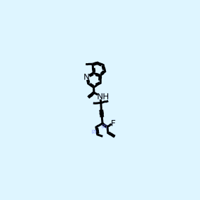 C=C/C(F)=C(C#CC(C)(C)NC(=C)c1cnc2c(C)cccc2c1)\C=C/C